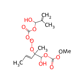 C=C(C)C(O)OC(=O)OOOC(C)(C=CC)C(O)OC(=O)OOC